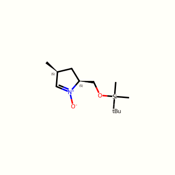 C[C@@H]1C=[N+]([O-])[C@H](CO[Si](C)(C)C(C)(C)C)C1